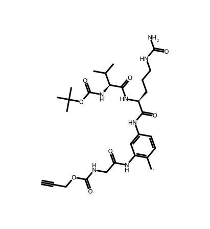 C#CCOC(=O)NCC(=O)Nc1cc(NC(=O)[C@H](CCCNC(N)=O)NC(=O)[C@@H](NC(=O)OC(C)(C)C)C(C)C)ccc1[CH2]